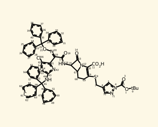 CC(C)(C)OC(=O)n1cc(CSC2=C(C(=O)O)N3C(=O)C(NC(=O)/C(=N/OC(c4ccccc4)(c4ccccc4)c4ccccc4)c4nc(NC(c5ccccc5)(c5ccccc5)c5ccccc5)sc4Cl)C3CC2)cn1